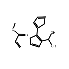 C=CC(=O)OC.OC(O)C1=C(C2=CC=CC2)CC=C1